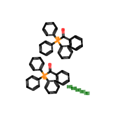 Cl.Cl.Cl.Cl.Cl.O=C(c1ccccc1)[PH](c1ccccc1)(c1ccccc1)c1ccccc1.O=C(c1ccccc1)[PH](c1ccccc1)(c1ccccc1)c1ccccc1